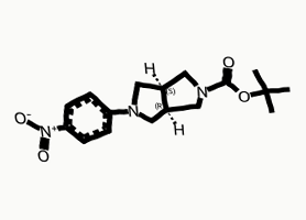 CC(C)(C)OC(=O)N1C[C@@H]2CN(c3ccc([N+](=O)[O-])cc3)C[C@@H]2C1